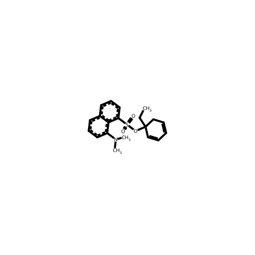 CCC1(OS(=O)(=O)c2cccc3cccc(N(C)C)c23)C=CC=CC1